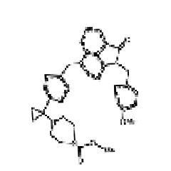 COc1ccc(CN2C(=O)c3cccc4c(Cc5ccc(C6(N7CCN(C(=O)OC(C)(C)C)CC7)CC6)cc5)ccc2c34)cc1